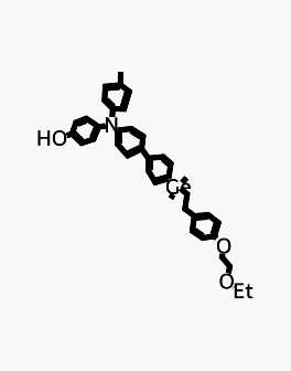 CCOCCOc1ccc(C[CH2][Ge]([CH3])([CH3])[c]2ccc(-c3ccc(N(c4ccc(C)cc4)c4ccc(O)cc4)cc3)cc2)cc1